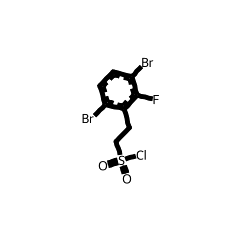 O=S(=O)(Cl)CCc1c(Br)ccc(Br)c1F